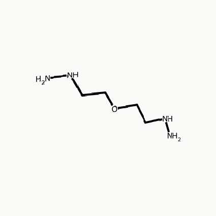 NNCCOCCNN